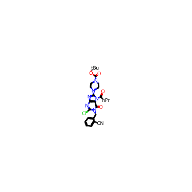 CCCC(=O)n1c(N2CCN(C(=O)OC(C)(C)C)CC2)nc2nc(Cl)n(Cc3ccccc3C#N)c(=O)c21